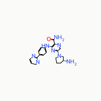 NC(=O)c1ncc(N2CCC[C@H](N)C2)nc1Nc1ccc(-c2ncccn2)cc1